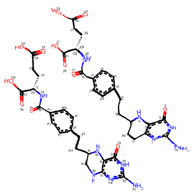 Nc1nc2c(c(=O)[nH]1)NC(CCc1ccc(C(=O)N[C@@H](CCC(=O)O)C(=O)O)cc1)CC2.Nc1nc2c(c(=O)[nH]1)NC(CCc1ccc(C(=O)N[C@@H](CCC(=O)O)C(=O)O)cc1)CN2